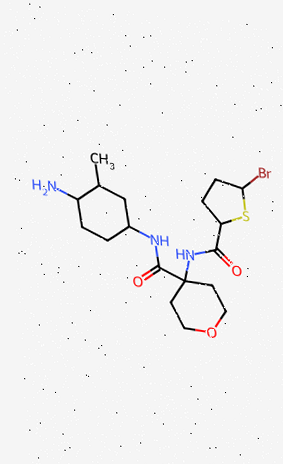 CC1CC(NC(=O)C2(NC(=O)C3CCC(Br)S3)CCOCC2)CCC1N